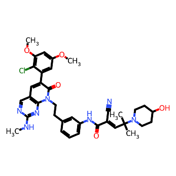 CNc1ncc2cc(-c3cc(OC)cc(OC)c3Cl)c(=O)n(CCc3cccc(NC(=O)/C(C#N)=C/C(C)(C)N4CCC(O)CC4)c3)c2n1